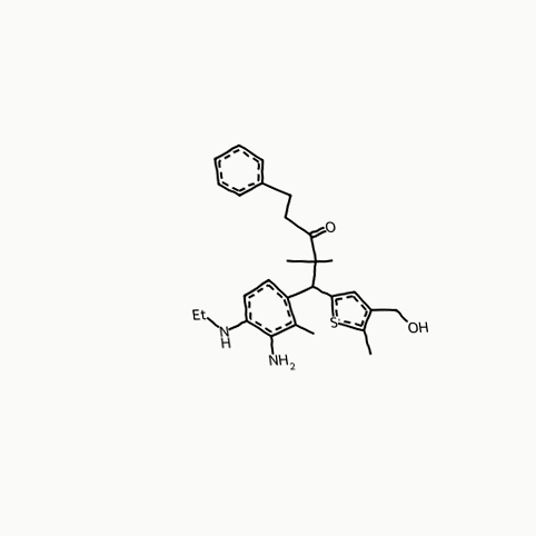 CCNc1ccc(C(c2cc(CO)c(C)s2)C(C)(C)C(=O)CCc2ccccc2)c(C)c1N